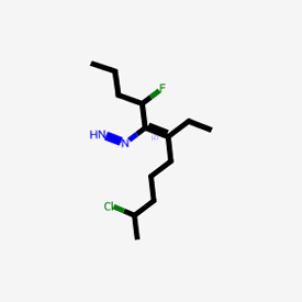 CCCC(F)/C(N=N)=C(\CC)CCCC(C)Cl